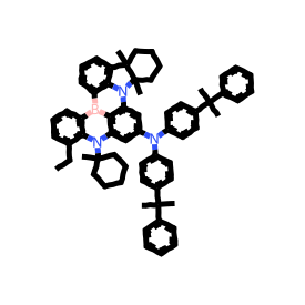 CCc1cccc2c1N(C1(C)CCCCC1)c1cc(N(c3ccc(C(C)(C)c4ccccc4)cc3)c3ccc(C(C)(C)c4ccccc4)cc3)cc3c1B2c1cccc2c1N3C1(C)CCCCC21C